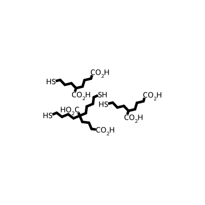 O=C(O)CCCC(CCCCS)(CCCCS)C(=O)O.O=C(O)CCCC(CCCS)C(=O)O.O=C(O)CCCC(CCCS)C(=O)O